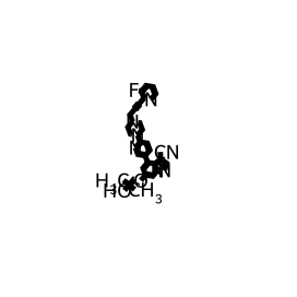 CC(C)(O)COc1cc(-c2ccc(N3CCN(CC#Cc4ncccc4F)CC3)nc2)c2c(C#N)cnn2c1